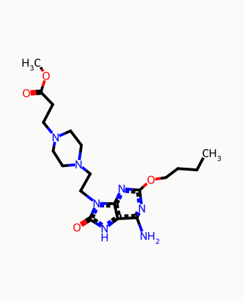 CCCCOc1nc(N)c2[nH]c(=O)n(CCN3CCN(CCC(=O)OC)CC3)c2n1